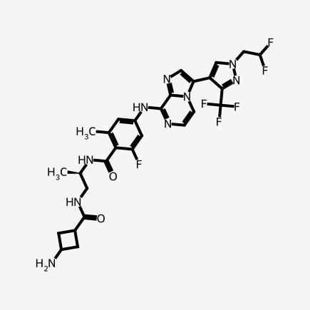 Cc1cc(Nc2nccn3c(-c4cn(CC(F)F)nc4C(F)(F)F)cnc23)cc(F)c1C(=O)N[C@H](C)CNC(=O)C1CC(N)C1